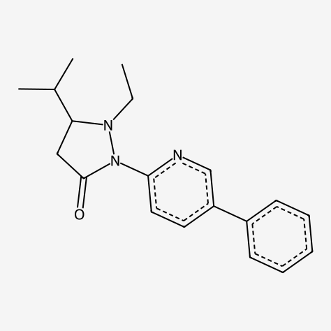 CCN1C(C(C)C)CC(=O)N1c1ccc(-c2ccccc2)cn1